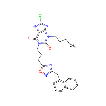 CCCCn1c(=O)n(CCCc2nc(Cc3cccc4ccccc34)no2)c(=O)c2[nH]c(Cl)nc21